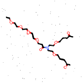 CCOCCOCCOCCOCCC(=O)N(CCOCCCC(C)=O)CCOCCCC(C)=O